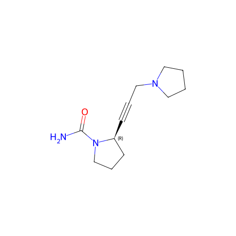 NC(=O)N1CCC[C@@H]1C#CCN1CCCC1